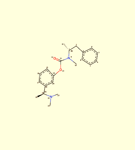 C[C@H](Cc1ccccc1)N(C)C(=O)Oc1cccc([C@H](C)N(C)C)c1